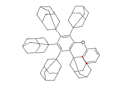 [c]1ccccc1Oc1c(C23CC4CC(CC(C4)C2)C3)c(C23CC4CC(CC(C4)C2)C3)c(C23CC4CC(CC(C4)C2)C3)c(C23CC4CC(CC(C4)C2)C3)c1C12CC3CC(CC(C3)C1)C2